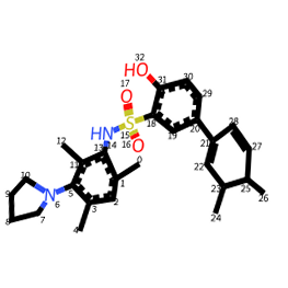 Cc1cc(C)c(N2CCCC2)c(C)c1NS(=O)(=O)c1cc(C2=CC(C)C(C)C=C2)ccc1O